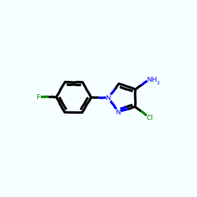 Nc1cn(-c2ccc(F)cc2)nc1Cl